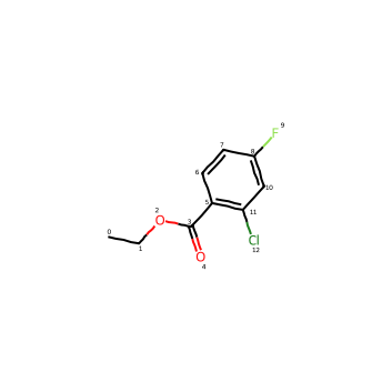 CCOC(=O)c1ccc(F)cc1Cl